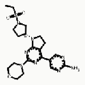 CCS(=O)(=O)N1CC[C@@H](N2CCc3c(-c4cnc(N)nc4)nc(N4CCOCC4)nc32)C1